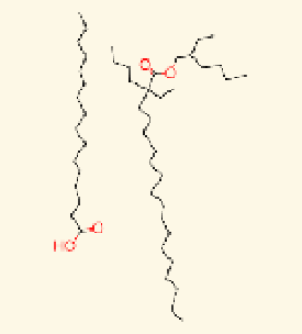 CCCCCCCCCCCCCCCC(=O)O.CCCCCCCCCCCCCCCCC(CC)(CCCC)C(=O)OCC(CC)CCCC